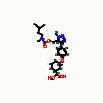 CC(C)CCN(C)C(=O)OCc1c(-c2ccc(O[C@H]3CCC[C@H](C(O)O)C3)cc2)nnn1C